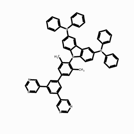 Cc1cc(-c2cc(-c3cncnc3)cc(-c3cncnc3)c2)cc(C)c1-n1c2ccc(N(c3ccccc3)c3ccccc3)cc2c2cc(N(c3ccccc3)c3ccccc3)ccc21